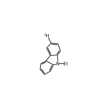 [2H]c1ccc2c(c1)c1ccccc1n2CC